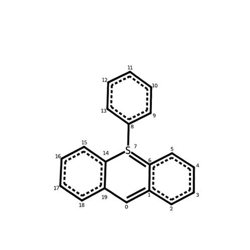 C1=c2ccccc2=S(c2ccccc2)c2ccccc21